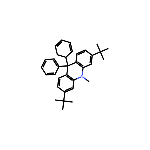 CN1c2cc(C(C)(C)C)ccc2C(c2ccccc2)(C2C=CC=CC2)c2ccc(C(C)(C)C)cc21